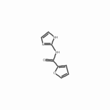 O=C(Nc1ncc[nH]1)c1ccco1